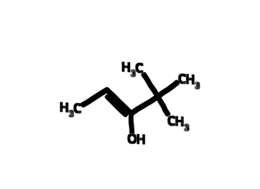 CC=C(O)C(C)(C)C